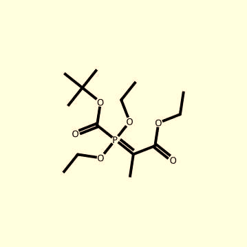 CCOC(=O)C(C)=P(OCC)(OCC)C(=O)OC(C)(C)C